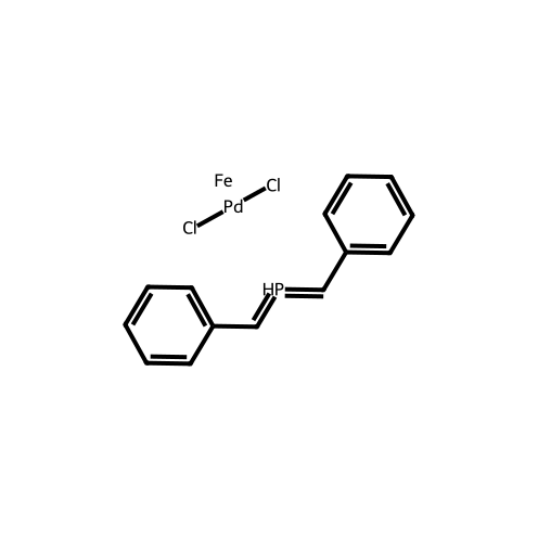 C(=[PH]=Cc1ccccc1)c1ccccc1.[Cl][Pd][Cl].[Fe]